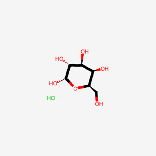 Cl.OC[C@H]1O[C@H](O)[C@H](O)[C@@H](O)[C@H]1O